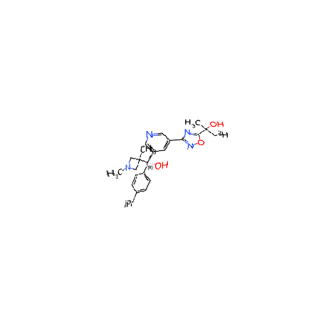 [2H]CC(C)(O)c1nc(-c2cncc([C@@](O)(c3ccc(C(C)C)cc3)C3(C)CN(C)C3)c2)no1